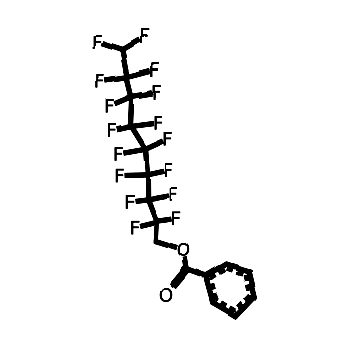 O=C(OCC(F)(F)C(F)(F)C(F)(F)C(F)(F)C(F)(F)C(F)(F)C(F)(F)C(F)F)c1ccccc1